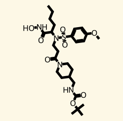 CCCCC(C(=O)NO)N(CCC(=O)N1CCC(CNC(=O)OC(C)(C)C)CC1)S(=O)(=O)c1ccc(OC)cc1